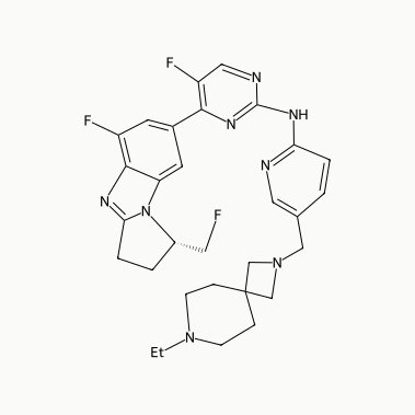 CCN1CCC2(CC1)CN(Cc1ccc(Nc3ncc(F)c(-c4cc(F)c5nc6n(c5c4)[C@H](CF)CC6)n3)nc1)C2